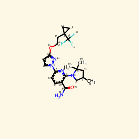 CC1CN(c2nc(-n3ccc(OCCC4(C(F)(F)F)CC4)n3)ccc2C(N)=O)C(C)(C)C1